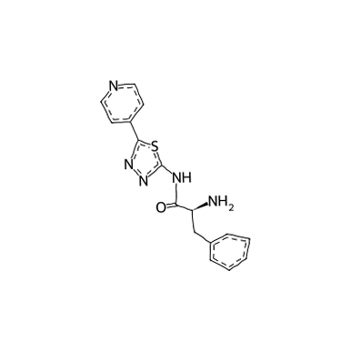 N[C@@H](Cc1ccccc1)C(=O)Nc1nnc(-c2ccncc2)s1